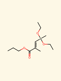 CCCOC(=O)C(C)=C[Si](C)(OCC)OCC